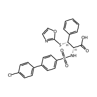 O=C(O)[C@H](NS(=O)(=O)c1ccc(-c2ccc(Cl)cc2)cc1)[C@H](Sc1ncco1)c1ccccc1